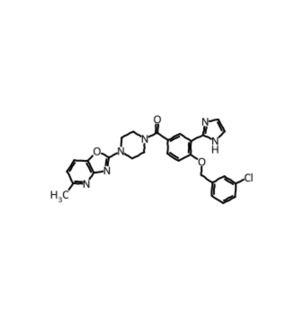 Cc1ccc2oc(N3CCN(C(=O)c4ccc(OCc5cccc(Cl)c5)c(-c5ncc[nH]5)c4)CC3)nc2n1